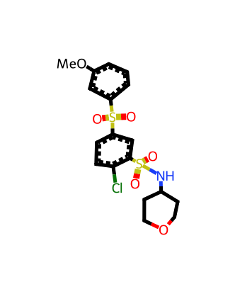 COc1cccc(S(=O)(=O)c2ccc(Cl)c(S(=O)(=O)NC3CCOCC3)c2)c1